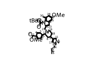 COC(=O)c1ccc(C2CC(c3cnn(CCF)c3)CCN2Cc2cc3cc(OC)cc(C)c3n2C(=O)OC(C)(C)C)cc1